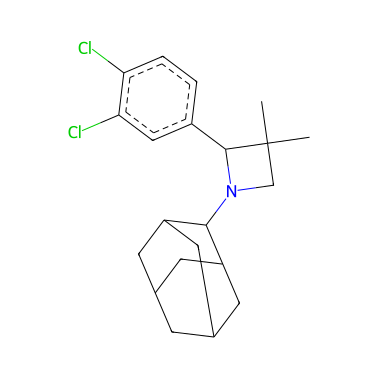 CC1(C)CN(C2C3CC4CC(C3)CC2C4)C1c1ccc(Cl)c(Cl)c1